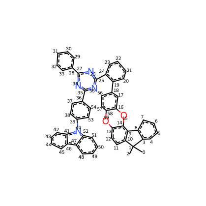 CC1(C)c2ccccc2-c2c1ccc1c2Oc2cc(-c3ccccc3-c3nc(-c4ccccc4)nc(-c4ccc(-n5c6ccccc6c6ccccc65)cc4)n3)ccc2O1